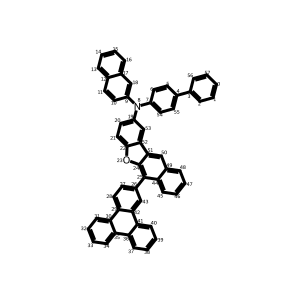 c1ccc(-c2ccc(N(c3ccc4ccccc4c3)c3ccc4oc5c(-c6ccc7c8ccccc8c8ccccc8c7c6)c6ccccc6cc5c4c3)cc2)cc1